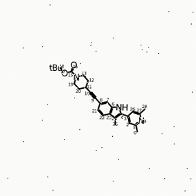 Cc1cc(-c2[nH]c3cc(C#CC4CCN(C(=O)OC(C)(C)C)CC4)ccc3c2C)cc(C)n1